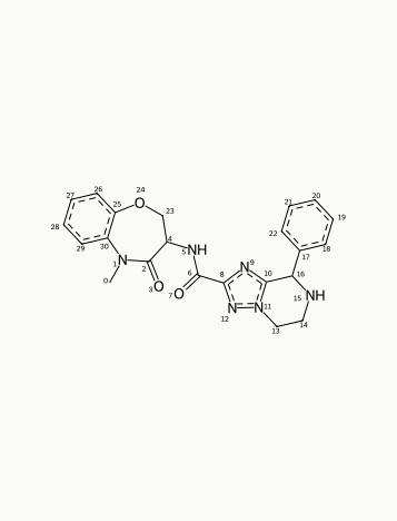 CN1C(=O)C(NC(=O)c2nc3n(n2)CCNC3c2ccccc2)COc2ccccc21